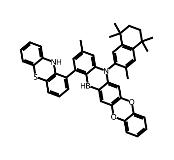 Cc1cc(-c2cccc3c2Nc2ccccc2S3)c2c(c1)N(c1cc3c(cc1C)C(C)(C)CCC3(C)C)c1cc3c(cc1B2)Oc1ccccc1O3